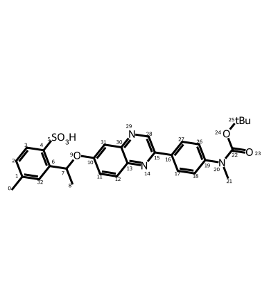 Cc1ccc(S(=O)(=O)O)c(C(C)Oc2ccc3nc(-c4ccc(N(C)C(=O)OC(C)(C)C)cc4)cnc3c2)c1